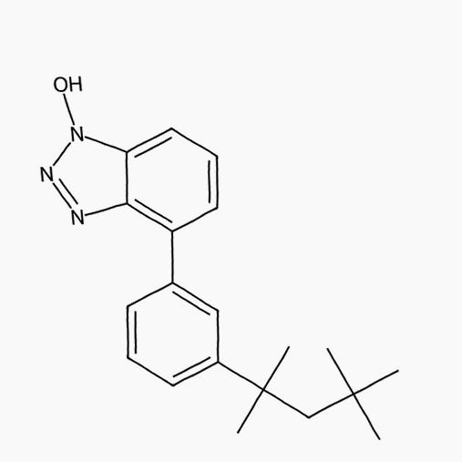 CC(C)(C)CC(C)(C)c1cccc(-c2cccc3c2nnn3O)c1